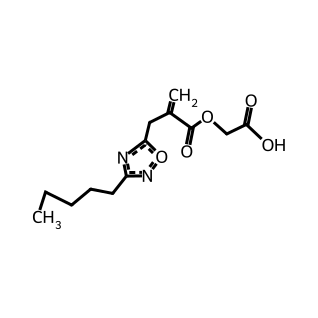 C=C(Cc1nc(CCCCC)no1)C(=O)OCC(=O)O